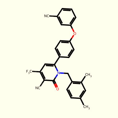 Cc1ccc(Cn2c(-c3ccc(Oc4cccc(C#N)c4)cc3)cc(C(F)(F)F)c(C#N)c2=O)c(C)c1